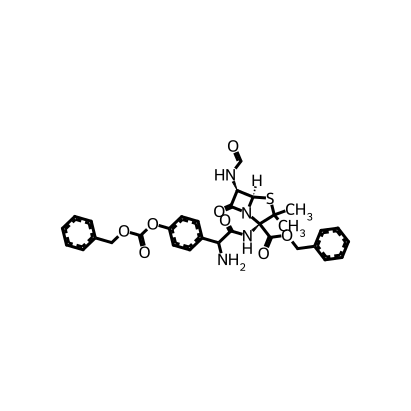 CC1(C)S[C@@H]2[C@H](NC=O)C(=O)N2[C@@]1(NC(=O)C(N)c1ccc(OC(=O)OCc2ccccc2)cc1)C(=O)OCc1ccccc1